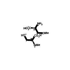 CN[C@@H](CO)C(=O)O.COC[C@H](N)C(=O)O